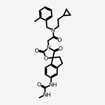 CNC(=O)Nc1ccc2c(c1)CCC21OC(=O)N(CC(=O)N(CCC2CC2)Cc2ccccc2C)C1=O